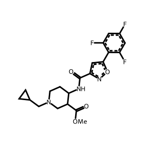 COC(=O)C1CN(CC2CC2)CCC1NC(=O)c1cc(-c2c(F)cc(F)cc2F)on1